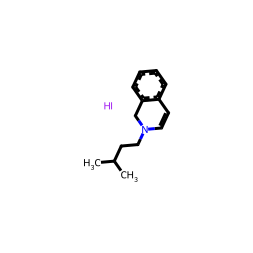 CC(C)CCN1C=Cc2ccccc2C1.I